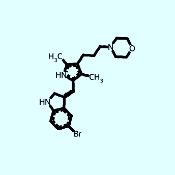 Cc1[nH]c(C=C2CNc3ccc(Br)cc32)c(C)c1CCCN1CCOCC1